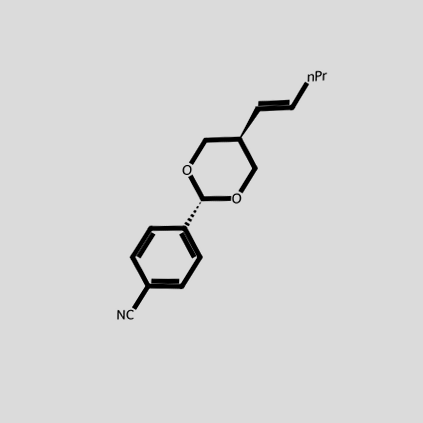 CCC/C=C/[C@H]1CO[C@H](c2ccc(C#N)cc2)OC1